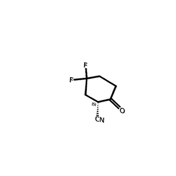 N#C[C@@H]1CC(F)(F)CCC1=O